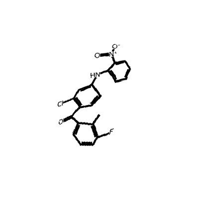 Cc1c(F)cccc1C(=O)c1ccc(Nc2ccccc2[N+](=O)[O-])cc1Cl